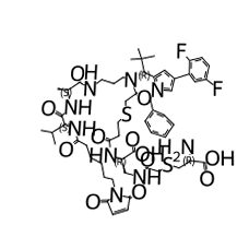 CC(C)[C@H](NC(=O)CCCCCN1C(=O)C=CC1=O)C(=O)N[C@@H](C)C(=O)NCCCN(C(=O)CSCCC(=O)N[C@H](CNC(=O)CSC[C@H](N)C(=O)O)C(=O)O)[C@@H](c1cc(-c2cc(F)ccc2F)cn1Cc1ccccc1)C(C)(C)C